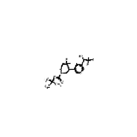 CC(C)(C)OC(=O)N1CCC(F)(F)C(c2cncc(C(O)C(F)(F)F)c2)C1